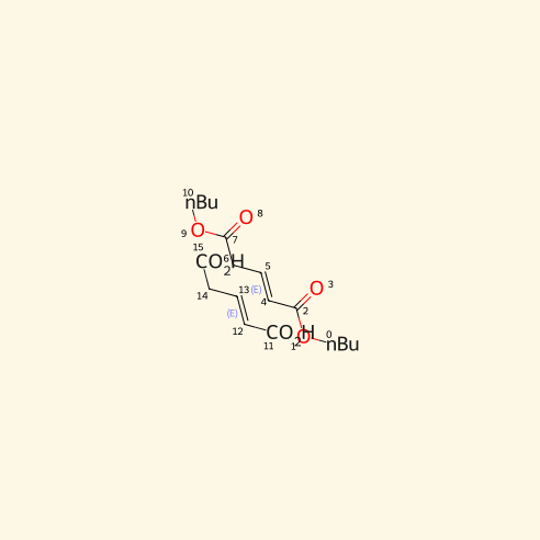 CCCCOC(=O)/C=C/CC(=O)OCCCC.O=C(O)/C=C/CC(=O)O